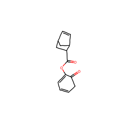 O=C1CC=CC=C1OC(=O)C1CC2C=CC1C2